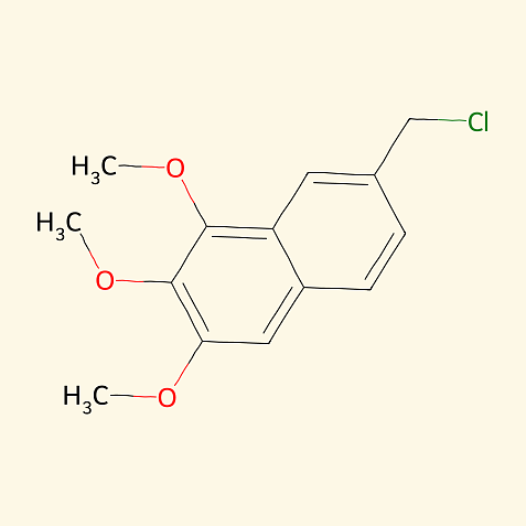 COc1cc2ccc(CCl)cc2c(OC)c1OC